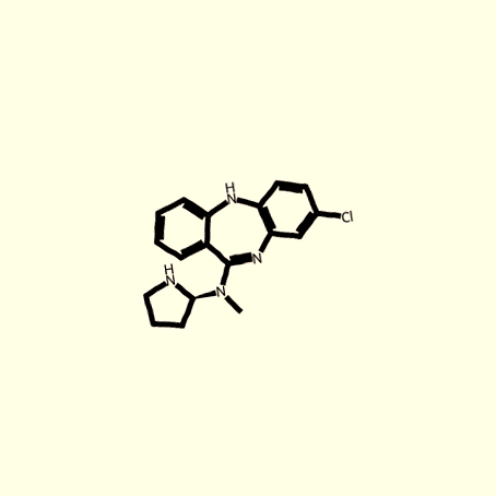 CN(C1=Nc2cc(Cl)ccc2Nc2ccccc21)[C@H]1CCCN1